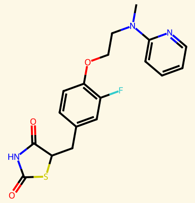 CN(CCOc1ccc(CC2SC(=O)NC2=O)cc1F)c1ccccn1